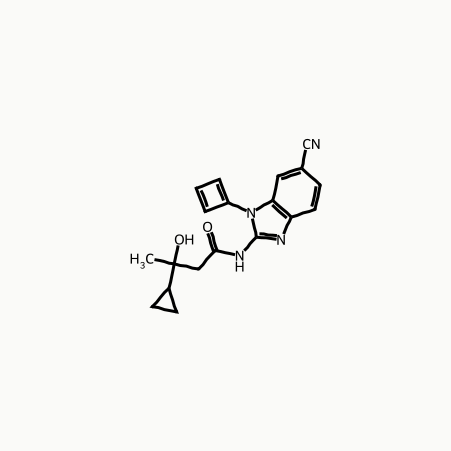 CC(O)(CC(=O)Nc1nc2ccc(C#N)cc2n1C1=CC=C1)C1CC1